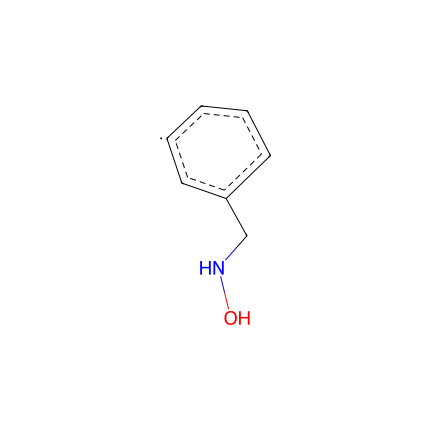 ONCc1c[c]ccc1